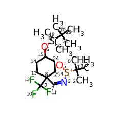 CC(C)(C)[S+]([O-])/N=C\C1(C(F)(F)F)CCC(O[Si](C)(C)C(C)(C)C)CC1